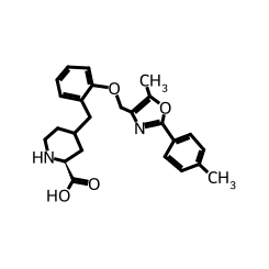 Cc1ccc(-c2nc(COc3ccccc3CC3CCN[C@H](C(=O)O)C3)c(C)o2)cc1